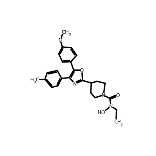 CCN(O)C(=O)N1CCC(c2nc(-c3ccc(C)cc3)c(-c3ccc(OC)cc3)o2)CC1